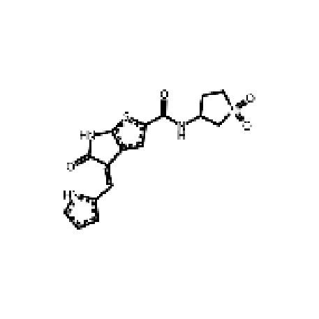 O=C1Nc2sc(C(=O)NC3CCS(=O)(=O)C3)cc2/C1=C/c1ccc[nH]1